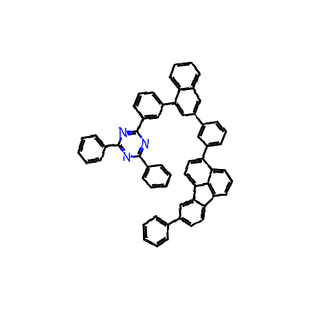 c1ccc(-c2ccc3c(c2)-c2ccc(-c4cccc(-c5cc(-c6cccc(-c7nc(-c8ccccc8)nc(-c8ccccc8)n7)c6)c6ccccc6c5)c4)c4cccc-3c24)cc1